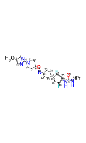 Cc1cnc(N2CCC(ON=C3CCC(c4cc(F)c(NC(=O)NC(C)C)cc4F)CC3)CC2)nc1